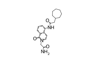 NC(=O)Cn1ccc2c(NC(=O)CC3CCCCCC3)cccc2c1=O